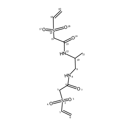 C=CS(=O)(=O)CC(=O)NCC(C)NC(=O)CS(=O)(=O)C=C